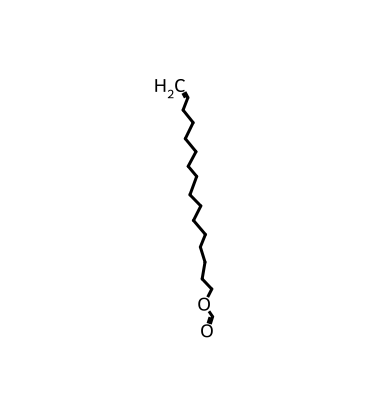 C=CCCCCCCCCCCCCCCOC=O